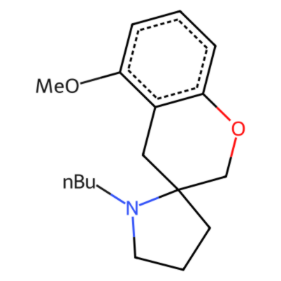 CCCCN1CCCC12COc1cccc(OC)c1C2